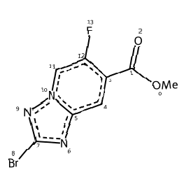 COC(=O)c1cc2nc(Br)nn2cc1F